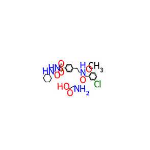 COc1ccc(Cl)cc1C(=O)NCCc1ccc(S(=O)(=O)NC(=O)NC2CCCCC2)cc1.NCC(=O)O